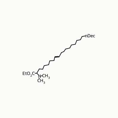 CCCCCCCCCCCCCCCCCCC/C=C/CCCCCCC(C(=O)OCC)N(C)C